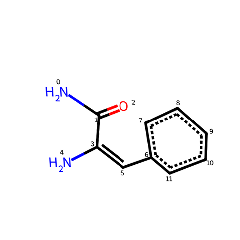 NC(=O)/C(N)=C\c1ccccc1